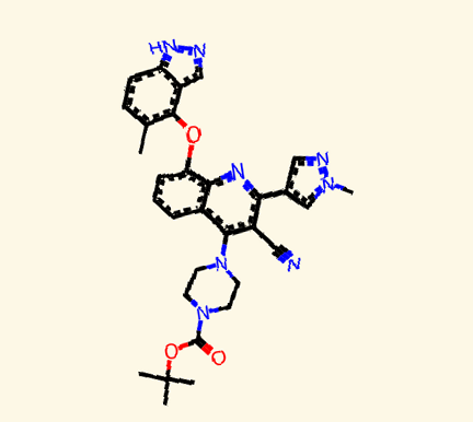 Cc1ccc2[nH]ncc2c1Oc1cccc2c(N3CCN(C(=O)OC(C)(C)C)CC3)c(C#N)c(-c3cnn(C)c3)nc12